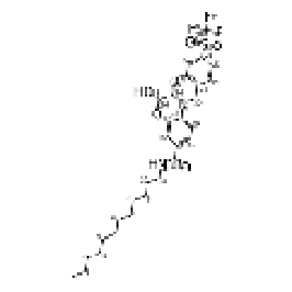 CCCCCCCCCCCCNC(=O)c1ccc(N(Cc2ccc(S(=O)(=O)C(F)(F)F)cc2)C(=O)C(=O)O)cc1